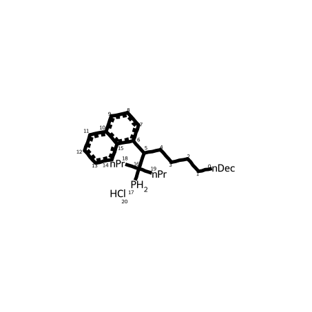 CCCCCCCCCCCCCCC(c1cccc2ccccc12)C(P)(CCC)CCC.Cl